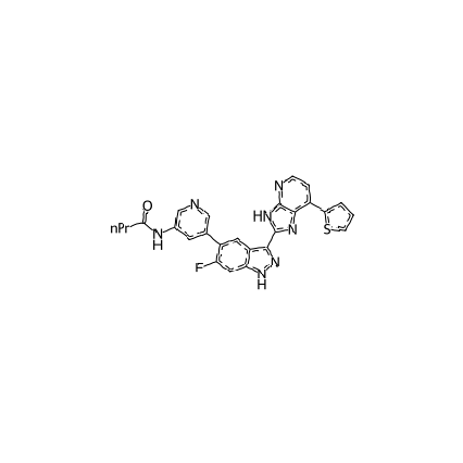 CCCC(=O)Nc1cncc(-c2cc3c(-c4nc5c(-c6cccs6)ccnc5[nH]4)n[nH]c3cc2F)c1